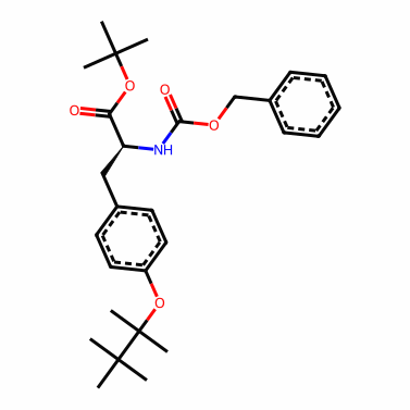 CC(C)(C)OC(=O)[C@H](Cc1ccc(OC(C)(C)C(C)(C)C)cc1)NC(=O)OCc1ccccc1